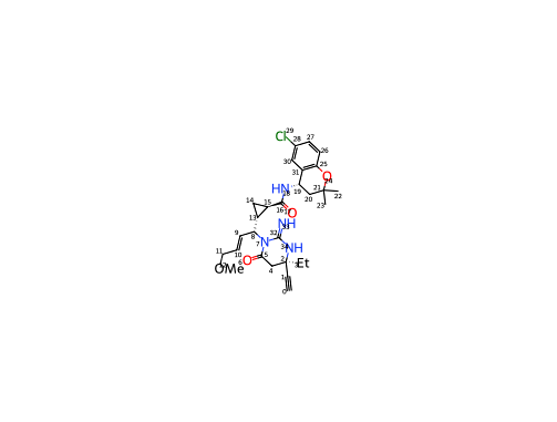 C#C[C@@]1(CC)CC(=O)N(C(/C=C/COC)[C@@H]2C[C@H]2C(=O)N[C@H]2CC(C)(C)Oc3ccc(Cl)cc32)C(=N)N1